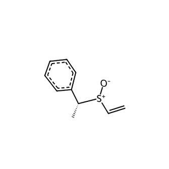 C=C[S+]([O-])[C@H](C)c1ccccc1